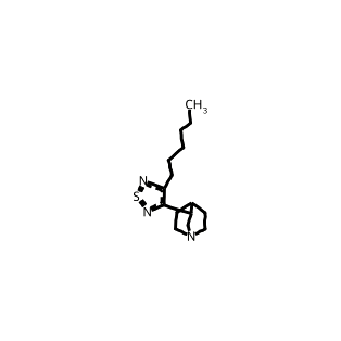 CCCCCCc1nsnc1C1CN2CCC1CC2